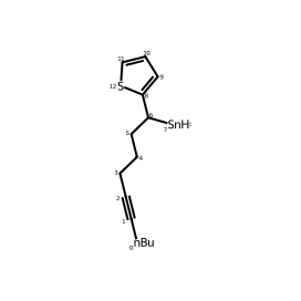 CCCCC#CCCC[CH]([SnH])c1cccs1